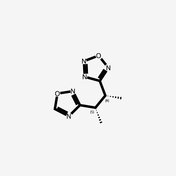 C[C@H](c1ncon1)[C@@H](C)c1nnon1